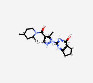 Cc1c(C(=O)N2CCC(C)CC2C(F)(F)F)cnn1-c1nc2c(c(=O)[nH]1)CCC2